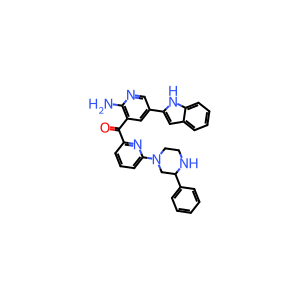 Nc1ncc(-c2cc3ccccc3[nH]2)cc1C(=O)c1cccc(N2CCNC(c3ccccc3)C2)n1